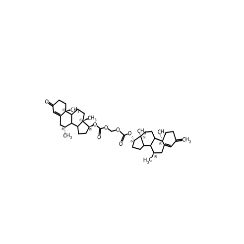 C=C1C=C2C[C@@H](C)C3C(CC[C@@]4(C)C3CC[C@@H]4OC(=O)OCOC(=O)O[C@H]3CCC4C5C(CC[C@@]43C)[C@@]3(C)CCC(=O)C=C3C[C@H]5C)[C@@]2(C)CC1